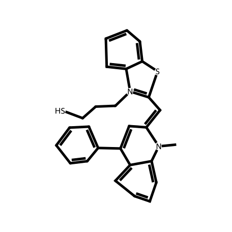 CN1/C(=C/c2sc3ccccc3[n+]2CCCS)C=C(c2ccccc2)c2ccccc21